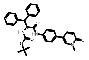 Cn1cc(-c2ccc(NC(=O)[C@@H](NC(=O)OC(C)(C)C)C(c3ccccc3)c3ccccc3)cc2)ccc1=O